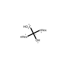 CCCCCCC(O)(CCCCCC)C(=O)O